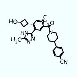 Cc1nnc(-c2cc(C(=O)N3CCC(c4ccc(C#N)cc4)CC3)c(C)cc2[C@H]2C[C@H](O)C2)[nH]1